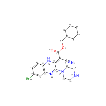 N#CC(C(=O)OCC1CCCCC1)=C1Nc2ccc(Br)cc2N=C1N1CCNCC1